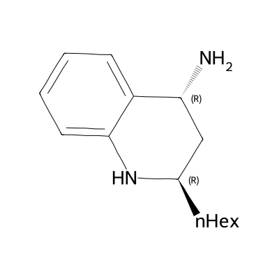 CCCCCC[C@@H]1C[C@@H](N)c2ccccc2N1